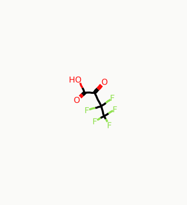 O=C(O)C(=O)C(F)(F)C(F)(F)F